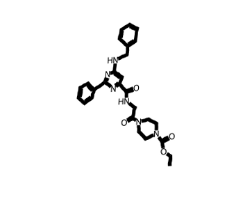 CCOC(=O)N1CCN(C(=O)CNC(=O)c2cc(NCc3ccccc3)nc(-c3ccccc3)n2)CC1